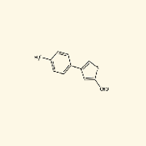 Cc1ccc(-c2csc(C=O)c2)cc1